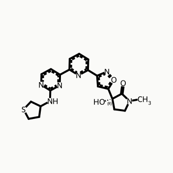 CN1CC[C@@](O)(c2cc(-c3cccc(-c4ccnc(NC5CCSC5)n4)n3)no2)C1=O